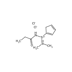 CCC(=O)[NH][Ti+2]([C]1=CC=CC1)[SiH](C)C.[Cl-].[Cl-]